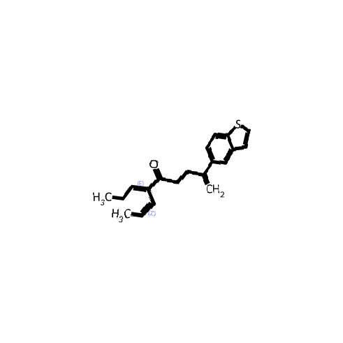 C=C(CCC(=O)C(/C=C\C)=C/CC)c1ccc2sccc2c1